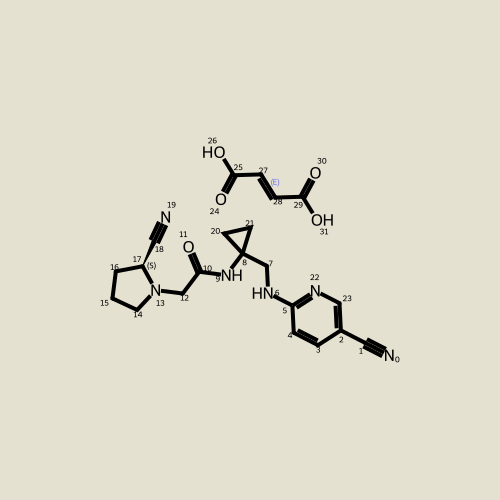 N#Cc1ccc(NCC2(NC(=O)CN3CCC[C@H]3C#N)CC2)nc1.O=C(O)/C=C/C(=O)O